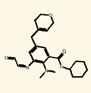 CN(C)c1c(/N=C\C=O)cc(CC2=CCOCC2)cc1C(=O)OC1CCCCC1